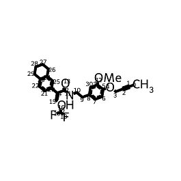 CC#CCOc1ccc(CCNC(=O)/C(=C\OC(F)F)c2ccc3c(c2)CCCC3)cc1OC